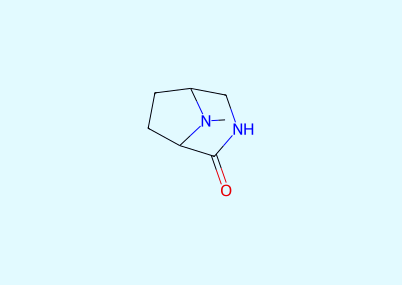 CN1C2CCC1C(=O)NC2